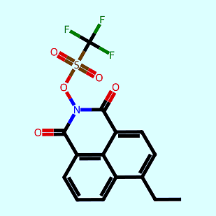 CCc1ccc2c3c(cccc13)C(=O)N(OS(=O)(=O)C(F)(F)F)C2=O